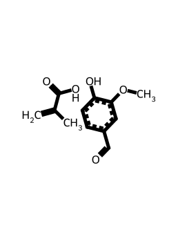 C=C(C)C(=O)O.COc1cc(C=O)ccc1O